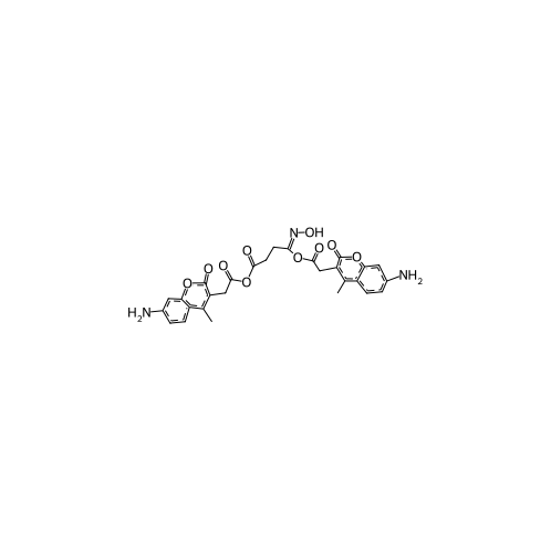 Cc1c(CC(=O)OC(=O)CC/C(=N/O)OC(=O)Cc2c(C)c3ccc(N)cc3oc2=O)c(=O)oc2cc(N)ccc12